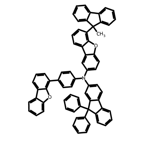 CC1(c2cccc3c2oc2ccc(N(c4ccc(-c5cccc6c5oc5ccccc56)cc4)c4ccc5c(c4)C(c4ccccc4)(c4ccccc4)c4ccccc4-5)cc23)c2ccccc2-c2ccccc21